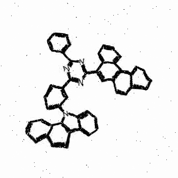 c1ccc(-c2nc(-c3cccc(-n4c5ccccc5c5ccc6ccccc6c54)c3)nc(-c3cc4ccc5ccccc5c4c4ccccc34)n2)cc1